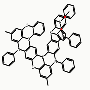 Cc1cc2c3c(c1)N(c1ccccc1)c1cc4c(cc1B3c1ccccc1O2)B1c2cc3c(cc2N(c2ccccc2)c2cc(C)cc(c21)O4)N(c1ccccc1)c1cc(C)cc2c1B3c1ccccc1N2c1ccccc1